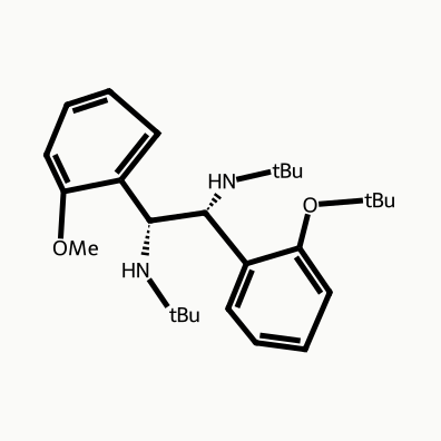 COc1ccccc1[C@@H](NC(C)(C)C)[C@H](NC(C)(C)C)c1ccccc1OC(C)(C)C